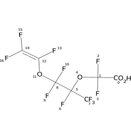 O=C(O)C(F)(F)OC(F)(C(F)(F)F)C(F)(F)OC(F)=C(F)F